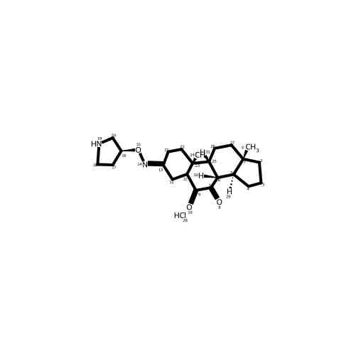 C[C@@]12CCC[C@H]1[C@@H]1C(=O)C(=O)C3CC(=NO[C@H]4CCNC4)CC[C@]3(C)[C@@H]1CC2.Cl